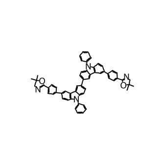 CC1(C)CN=C(c2ccc(-c3ccc4c(c3)c3cc(-c5ccc6c(c5)c5cc(-c7ccc(C8=NCC(C)(C)O8)cc7)ccc5n6-c5ccccc5)ccc3n4-c3ccccc3)cc2)O1